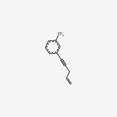 C=CCC#Cc1cccc(C(F)(F)F)c1